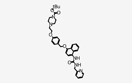 CC(C)(C)OC(=O)N1CCN(CCOc2ccc(COc3ccc(NC(=O)NCc4ccccn4)c4ccccc34)cc2)CC1